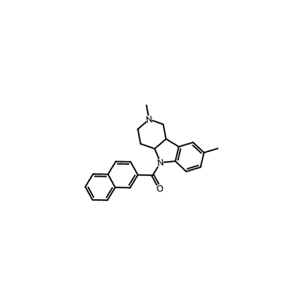 Cc1ccc2c(c1)C1CN(C)CCC1N2C(=O)c1ccc2ccccc2c1